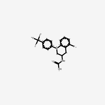 O=C(O)NC1Cc2c(F)cccc2N(c2ccc(C(F)(F)F)cc2)C1